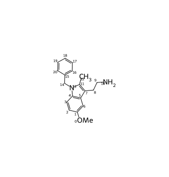 COc1ccc2c(c1)c(CCN)c(C)n2Cc1ccccc1